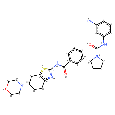 Nc1cccc(NC(=O)N2CCC[C@@H]2c2cccc(C(=O)Nc3nc4c(s3)C[C@@H](N3CCOCC3)CC4)c2)c1